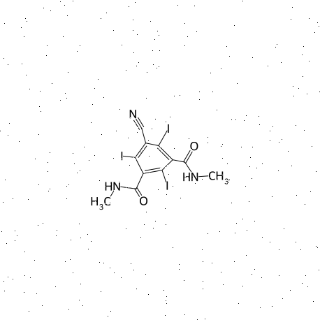 CNC(=O)c1c(I)c(C#N)c(I)c(C(=O)NC)c1I